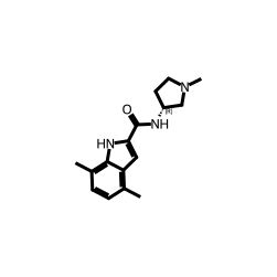 Cc1ccc(C)c2[nH]c(C(=O)N[C@@H]3CCN(C)C3)cc12